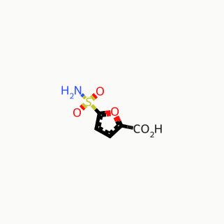 NS(=O)(=O)c1ccc(C(=O)O)o1